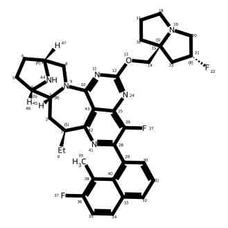 CC[C@H]1C[C@@H]2[C@@H]3CC[C@H](CN2c2nc(OC[C@@]45CCCN4C[C@H](F)C5)nc4c(F)c(-c5cccc6ccc(F)c(C)c56)nc1c24)N3